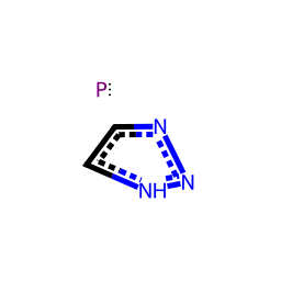 [P].c1c[nH]nn1